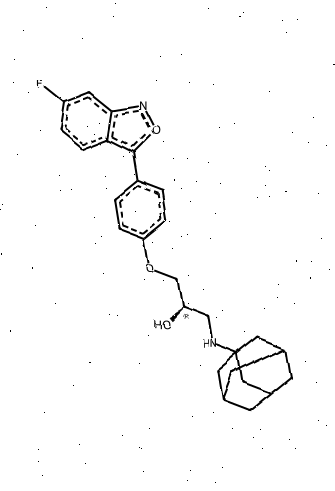 O[C@H](CNC12CC3CC(CC(C3)C1)C2)COc1ccc(-c2onc3cc(F)ccc23)cc1